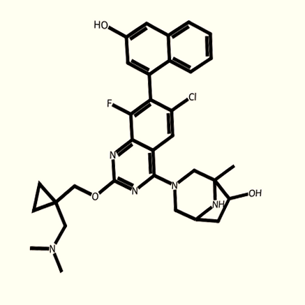 CN(C)CC1(COc2nc(N3CC4CC(O)C(C)(C3)N4)c3cc(Cl)c(-c4cc(O)cc5ccccc45)c(F)c3n2)CC1